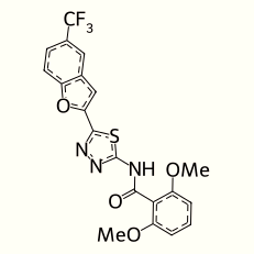 COc1cccc(OC)c1C(=O)Nc1nnc(-c2cc3cc(C(F)(F)F)ccc3o2)s1